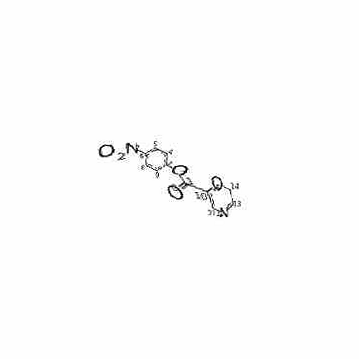 O=C(Oc1ccc([N+](=O)[O-])cc1)C1=CN=CCO1